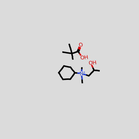 CC(C)(C)C(=O)O.CC(O)C[N+](C)(C)C1CCCCC1